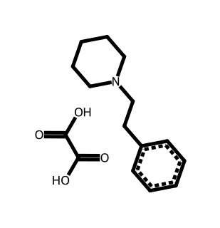 O=C(O)C(=O)O.c1ccc(CCN2CCCCC2)cc1